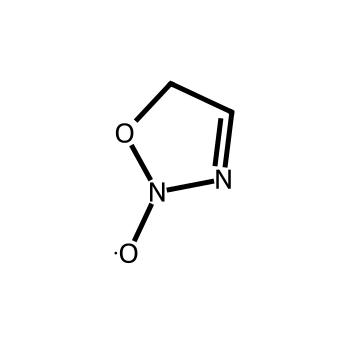 [O]N1N=CCO1